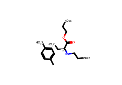 CCCCCCCCCCCCN[C@@H](CC(=O)O)C(=O)OCCCCCCCCCCCC.Cc1ccc(S(=O)(=O)O)cc1